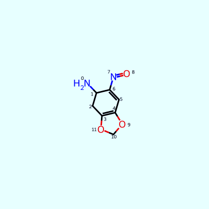 NC1CC2=C(C=C1N=O)OCO2